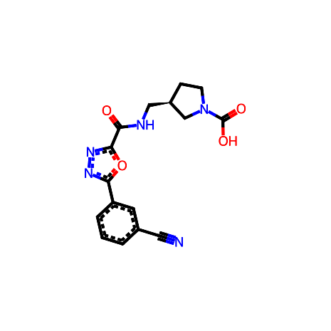 N#Cc1cccc(-c2nnc(C(=O)NC[C@H]3CCN(C(=O)O)C3)o2)c1